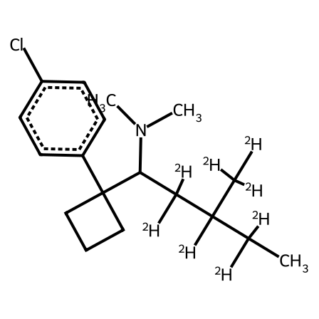 [2H]C([2H])([2H])C([2H])(C([2H])([2H])C)C([2H])([2H])C(N(C)C)C1(c2ccc(Cl)cc2)CCC1